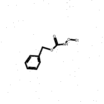 CCONC(=O)OCc1ccccc1